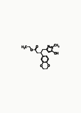 CCOC(=O)CC(Cc1cc(O)n(C)n1)c1ccc2c(c1)OCCO2